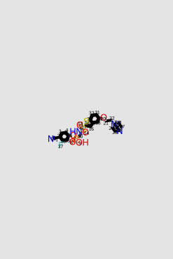 N#Cc1ccc(OP(=O)(O)CNS(=O)(=O)c2cc3cc(OCC[N+]45CCN(CC4)CC5)ccc3s2)cc1F